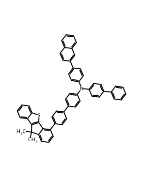 CC1(C)c2cccc(-c3ccc(-c4ccc(N(c5ccc(-c6ccccc6)cc5)c5ccc(-c6ccc7ccccc7c6)cc5)cc4)cc3)c2-c2sc3ccccc3c21